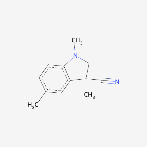 Cc1ccc2c(c1)C(C)(C#N)CN2C